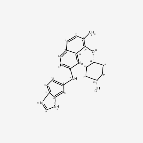 Cc1ccc2cnc(Nc3ccc4nc[nH]c4c3)nc2c1O[C@H]1CC[C@@H](O)CC1